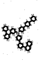 c1ccc(-c2ccc(-c3ccc(N(c4ccc(-c5cccc(-c6cccc7ccccc67)c5)cc4)c4cccc(-c5ccccc5-c5ccccc5)c4)cc3)cc2)cc1